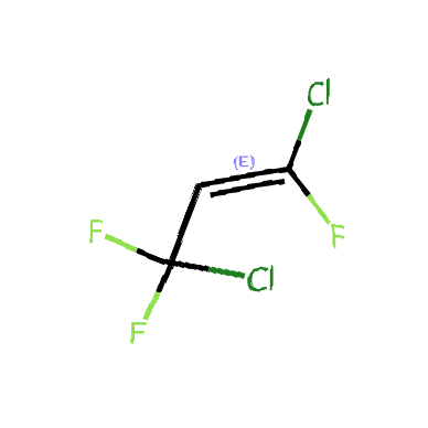 F/C(Cl)=C\C(F)(F)Cl